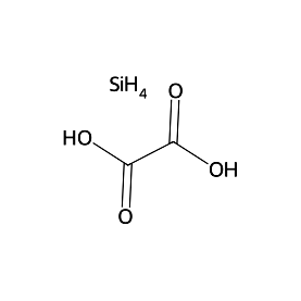 O=C(O)C(=O)O.[SiH4]